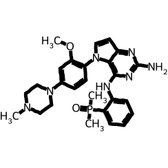 COc1cc(N2CCN(C)CC2)ccc1-n1ccc2nc(N)nc(Nc3ccccc3P(C)(C)=O)c21